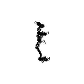 CC1(C)CCC(CN2CCN(c3ccc(C(=O)NS(=O)(=O)c4ccc(NCC5CCN(C(=O)COCCOCCC#Cc6cccc7c6CN(C6CCC(=O)NC6=O)C7=O)CC5)c([N+](=O)[O-])c4)c(Oc4cnc5[nH]ccc5c4)c3)CC2)=C(c2ccc(Cl)cc2)C1